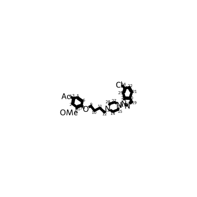 COc1cc(C(C)=O)ccc1OCCCCN1CCN(n2ncc3ccc(Cl)cc32)CC1